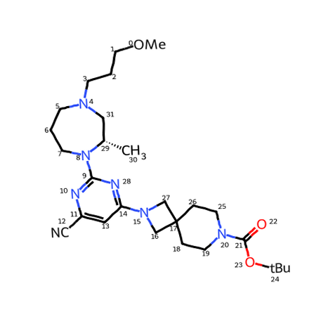 COCCCN1CCCN(c2nc(C#N)cc(N3CC4(CCN(C(=O)OC(C)(C)C)CC4)C3)n2)[C@@H](C)C1